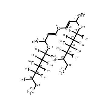 CCCC(C=COC=CC(CCC)OC(F)(F)C(F)(F)C(F)(F)C(F)(F)C(F)CC(F)(F)F)OC(F)(F)C(F)(F)C(F)(F)C(F)(F)C(F)CC(F)(F)F